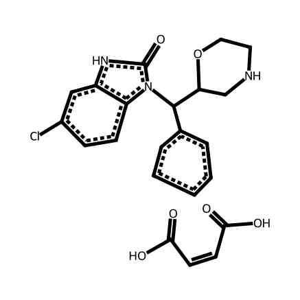 O=C(O)/C=C\C(=O)O.O=c1[nH]c2cc(Cl)ccc2n1C(c1ccccc1)C1CNCCO1